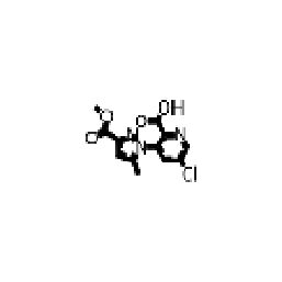 COC(=O)c1cc(C)n(-c2cc(Cl)cnc2C(=O)O)n1